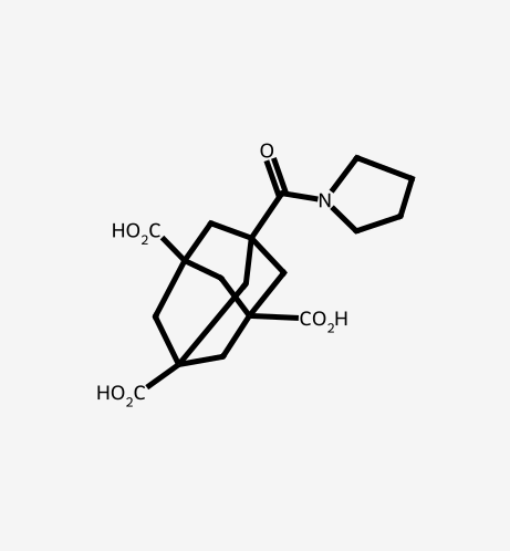 O=C(O)C12CC3(C(=O)O)CC(C(=O)O)(C1)CC(C(=O)N1CCCC1)(C2)C3